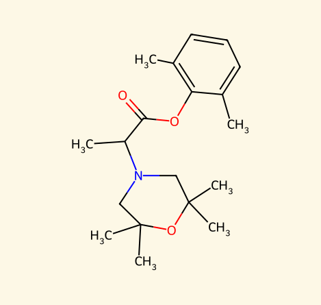 Cc1cccc(C)c1OC(=O)C(C)N1CC(C)(C)OC(C)(C)C1